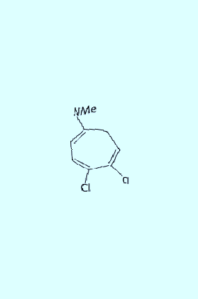 CNC1=CC=C(Cl)C(Cl)=CC1